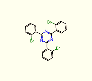 Brc1ccccc1-c1nc(-c2ccccc2Br)nc(-c2ccccc2Br)n1